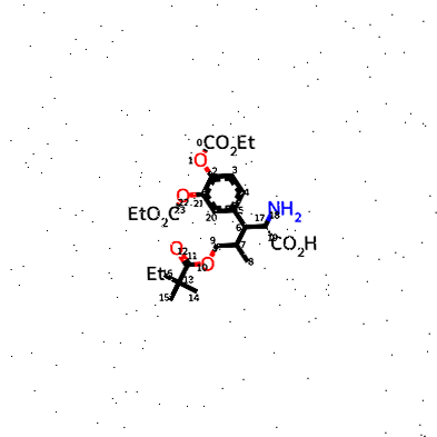 CCOC(=O)Oc1ccc(C(C(C)COC(=O)C(C)(C)CC)[C@H](N)C(=O)O)cc1OC(=O)OCC